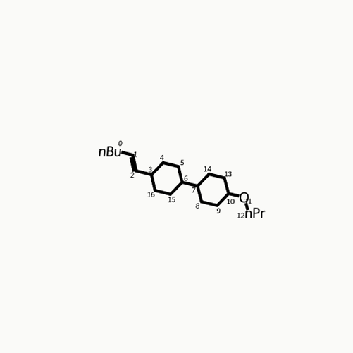 CCCC/C=C/C1CCC(C2CCC(OCCC)CC2)CC1